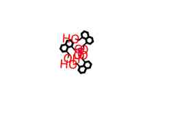 O=P(OCc1cccc2cccc(CO)c12)(OCc1cccc2cccc(CO)c12)OCc1cccc2cccc(CO)c12